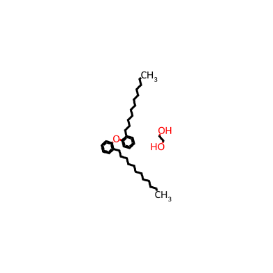 CCCCCCCCCCCCc1ccccc1Oc1ccccc1CCCCCCCCCCCC.OCCO